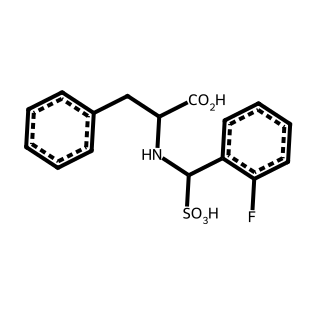 O=C(O)C(Cc1ccccc1)NC(c1ccccc1F)S(=O)(=O)O